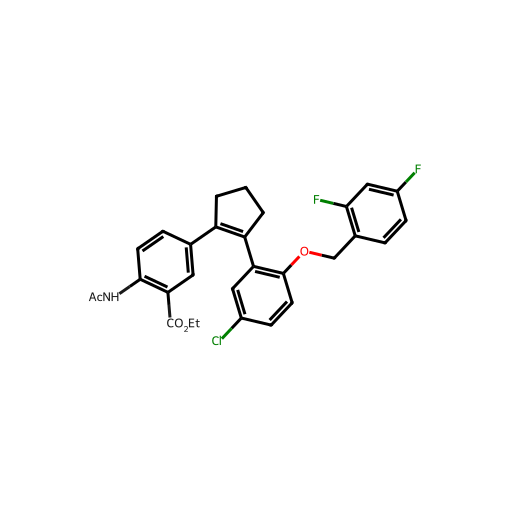 CCOC(=O)c1cc(C2=C(c3cc(Cl)ccc3OCc3ccc(F)cc3F)CCC2)ccc1NC(C)=O